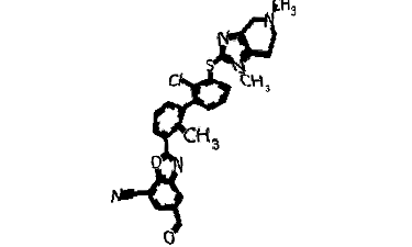 Cc1c(-c2nc3cc(C=O)cc(C#N)c3o2)cccc1-c1cccc(Sc2nc3c(n2C)CCN(C)C3)c1Cl